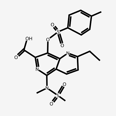 CCc1ccc2c(N(C)S(C)(=O)=O)nc(C(=O)O)c(OS(=O)(=O)c3ccc(C)cc3)c2n1